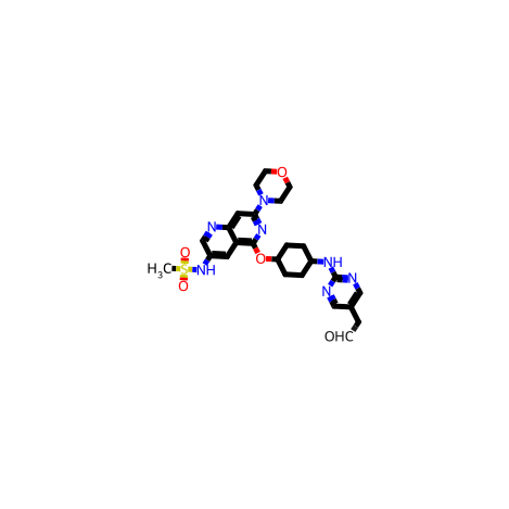 CS(=O)(=O)Nc1cnc2cc(N3CCOCC3)nc(OC3CCC(Nc4ncc(CC=O)cn4)CC3)c2c1